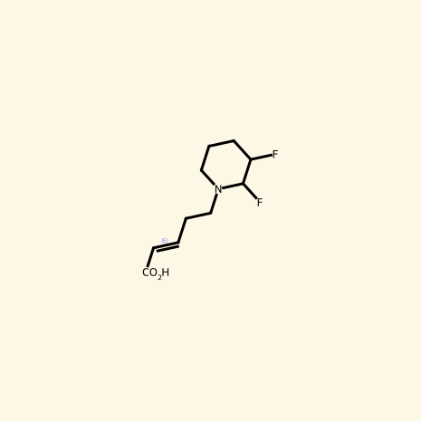 O=C(O)/C=C/CCN1CCCC(F)C1F